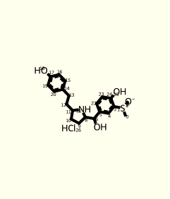 C[S+]([O-])c1cc(C(O)C2CCC(CCc3ccc(O)cc3)N2)ccc1O.Cl